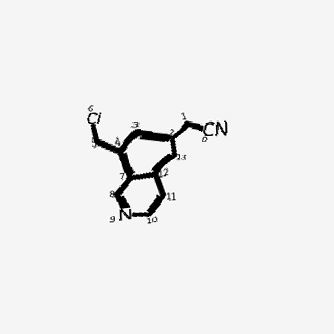 N#CCc1cc(CCl)c2cnccc2c1